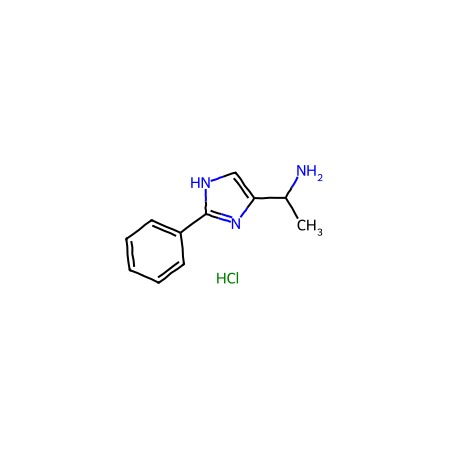 CC(N)c1c[nH]c(-c2ccccc2)n1.Cl